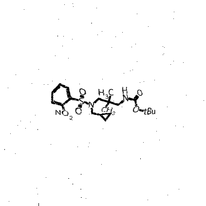 CC(C)(CNC(=O)OC(C)(C)C)CN(CC1CC1)S(=O)(=O)c1ccccc1[N+](=O)[O-]